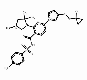 Cc1ccc(S(=O)(=O)NC(=O)c2ccc(-n3ccc(OCC4(C(F)(F)F)CC4)n3)nc2N2C[C@@H](C)CC2(C)C)cc1